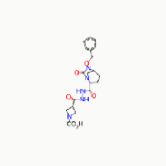 O=C(NNC(=O)C1CCC2CN1C(=O)N2OCc1ccccc1)C1CN(C(=O)O)C1